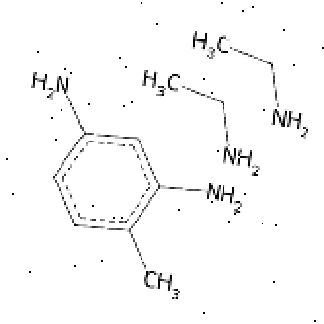 CCN.CCN.Cc1ccc(N)cc1N